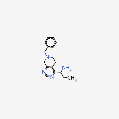 CCC(N)c1ncnc2c1CCN(Cc1ccccc1)C2